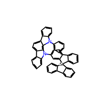 c1ccc(-n2c3ccccc3c3ccc4c5ccccc5n(-c5ccc6c(c5)[Si]5(c7ccccc7-c7ccccc75)c5ccccc5-6)c4c32)cc1